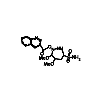 COC1CC(S(N)(=O)=O)CNN(OC(=O)c2cnc3ccccc3c2)C1OC